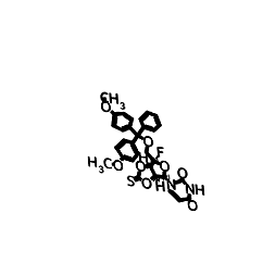 COc1ccc(C(OC[C@@]2(F)O[C@@H](n3ccc(=O)[nH]c3=O)[C@@H]3OC(=S)O[C@@H]32)(c2ccccc2)c2ccc(OC)cc2)cc1